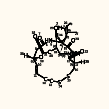 CC(C)C[C@H]1NC(=O)C[C@H]2C=CCCSSC[C@@H](NC1=O)C(=O)N[C@H](C(C)C)[C@H](O)CC(=O)O2